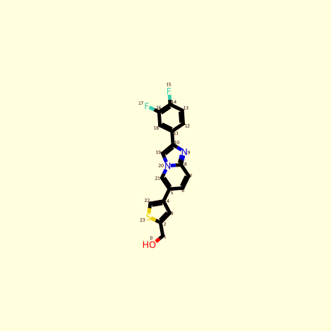 OCc1cc(-c2ccc3nc(-c4ccc(F)c(F)c4)cn3c2)cs1